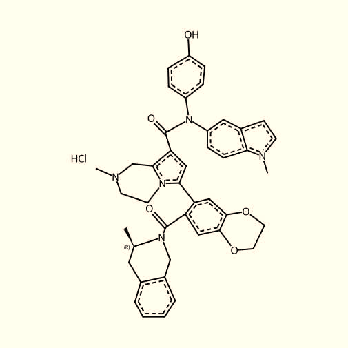 C[C@@H]1Cc2ccccc2CN1C(=O)c1cc2c(cc1-c1cc(C(=O)N(c3ccc(O)cc3)c3ccc4c(ccn4C)c3)c3n1CCN(C)C3)OCCO2.Cl